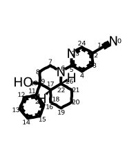 N#Cc1ccc(N2CCC(O)(c3ccccc3)[C@H]3CCCC[C@H]32)nc1